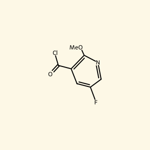 COc1ncc(F)cc1C(=O)Cl